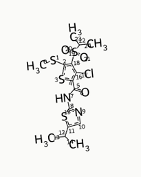 CSc1sc(C(=O)Nc2ncc(C(C)C)s2)c(Cl)c1S(=O)(=O)C(C)C